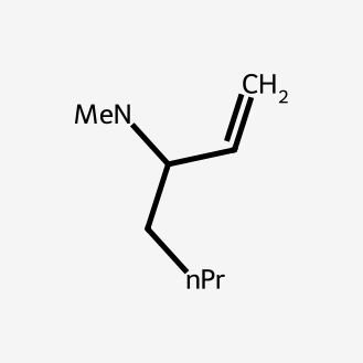 [CH2]CCCC(C=C)NC